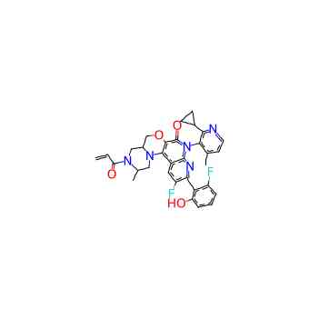 C=CC(=O)N1CC2COc3c(c4cc(F)c(-c5c(O)cccc5F)nc4n(-c4c(C)ccnc4C4CC4)c3=O)N2CC1C